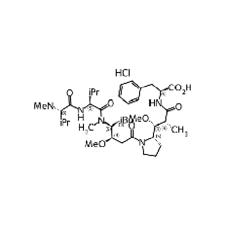 CC[C@H](C)[C@@H]([C@@H](CC(=O)N1CCC[C@H]1[C@H](OC)[C@@H](C)C(=O)N[C@@H](Cc1ccccc1)C(=O)O)OC)N(C)C(=O)[C@@H](NC(=O)[C@@H](NC)C(C)C)C(C)C.Cl